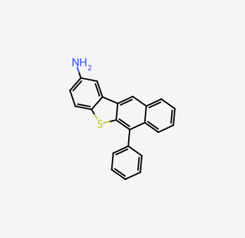 Nc1ccc2sc3c(-c4ccccc4)c4ccccc4cc3c2c1